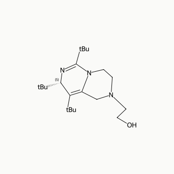 CC(C)(C)C1=N[C@@H](C(C)(C)C)C(C(C)(C)C)=C2CN(CCO)CCN12